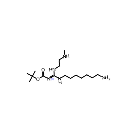 CNCCN/C(=N\C(=O)OC(C)(C)C)NCCCCCCCN